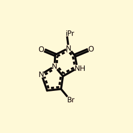 CC(C)n1c(=O)[nH]c2c(Br)cnn2c1=O